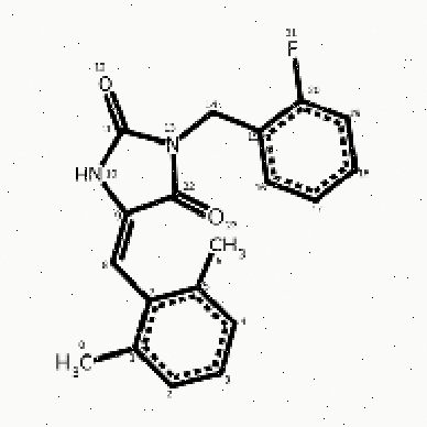 Cc1cccc(C)c1/C=C1/NC(=O)N(Cc2ccccc2F)C1=O